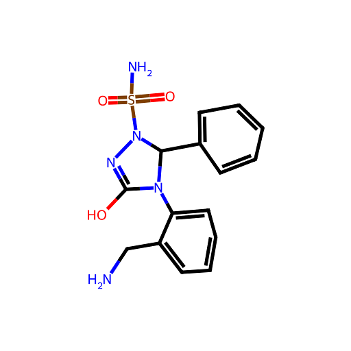 NCc1ccccc1N1C(O)=NN(S(N)(=O)=O)C1c1ccccc1